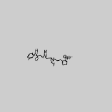 Cc1cccc(NC(=O)CCNCCN(CI)C/C=C/c2ccccc2[N+](=O)[O-])c1